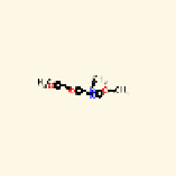 CCCCOc1ccc2nc(CCc3ccc(OCCCc4ccc(OC)cc4)cc3)n(CCCC)c2c1